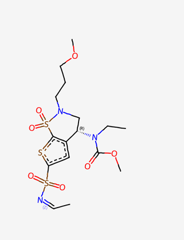 C/C=N\S(=O)(=O)c1cc2c(s1)S(=O)(=O)N(CCCOC)C[C@@H]2N(CC)C(=O)OC